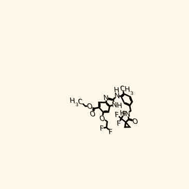 CCOC(=O)c1cc2nc(Nc3cc(CNC(=O)C4(C(F)(F)F)CC4)ccc3C)[nH]c2cc1OCC(F)F